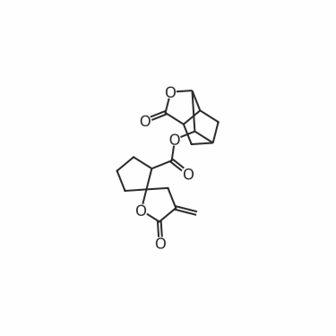 C=C1CC2(CCCC2C(=O)OC2C3CC4C(=O)OC2C4C3)OC1=O